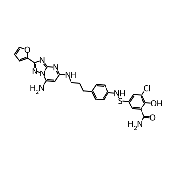 NC(=O)c1cc(SNc2ccc(CCCNc3cc(N)n4nc(-c5ccco5)nc4n3)cc2)cc(Cl)c1O